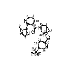 Cn1ccnc1-c1ncccc1C(=O)N1CC2CC(Oc3ccc(C(F)(F)F)cn3)C1C2